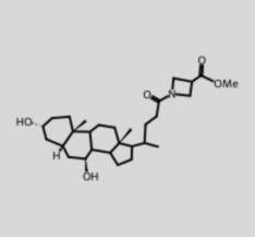 COC(=O)C1CN(C(=O)CCC(C)C2CCC3C4C(CC[C@]23C)[C@@]2(C)CC[C@@H](O)C[C@H]2C[C@@H]4O)C1